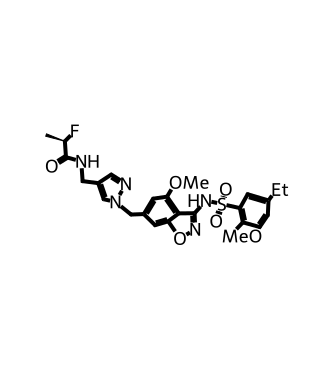 CCc1ccc(OC)c(S(=O)(=O)Nc2noc3cc(Cn4cc(CNC(=O)[C@@H](C)F)cn4)cc(OC)c23)c1